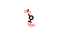 CC(=O)OCc1cccc(C(C)(C)OO)c1